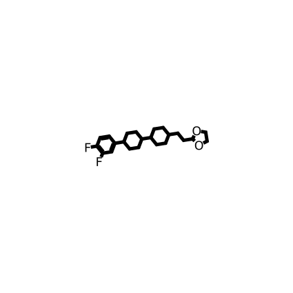 Fc1ccc(C2CCC(C3CCC(CCC4OCCO4)CC3)CC2)cc1F